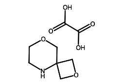 C1COCC2(COC2)N1.O=C(O)C(=O)O